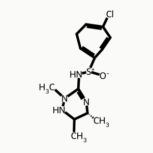 CC1NN(C)C(N[S+]([O-])C2=CCC=C(Cl)C=C2)=N[C@@H]1C